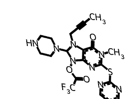 CC#CCN1c2c(nc(Sc3ncccn3)n(C)c2=O)N(OC(=O)C(F)(F)F)C1N1CCNCC1